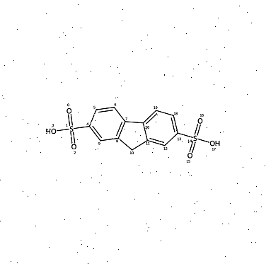 O=S(=O)(O)c1ccc2c(c1)Cc1cc(S(=O)(=O)O)ccc1-2